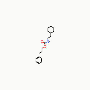 O=C([N]CCC1CCCCC1)OCCCc1ccccc1